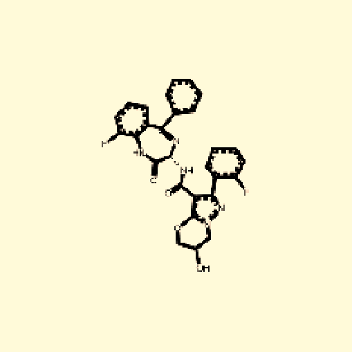 O=C(N[C@H]1N=C(c2ccccc2)c2cccc(F)c2NC1=O)c1c(-c2ccccc2F)nn2c1OCC(O)C2